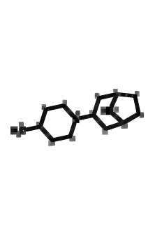 CC1CCN(C2CC3CCC(C2)N3)CC1